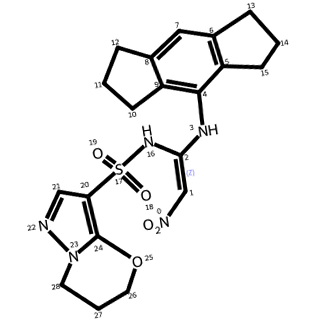 O=[N+]([O-])/C=C(/Nc1c2c(cc3c1CCC3)CCC2)NS(=O)(=O)c1cnn2c1OCCC2